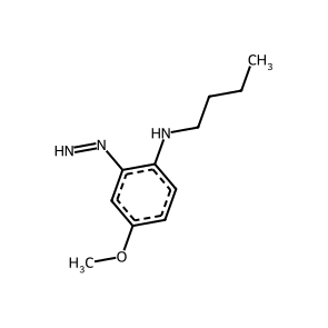 CCCCNc1ccc(OC)cc1N=N